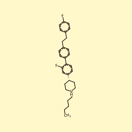 CCCCC[Si@H]1CC[C@H](c2ccc(-c3ccc(CCc4ccc(F)cc4)cc3)c(F)c2)CC1